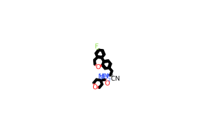 N#C[C@@H](Cc1ccc2c(c1)OCCc1cc(F)ccc1-2)NC(=O)C1(N)CCOCC1